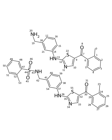 Cc1ccccc1C(=O)c1cnc(Nc2cccc(CN)c2)s1.Cc1ccccc1C(=O)c1cnc(Nc2cccc(CNS(=O)(=O)c3ccccc3C)c2)s1